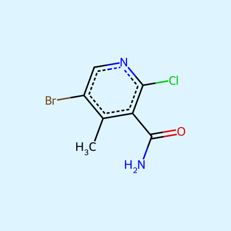 Cc1c(Br)cnc(Cl)c1C(N)=O